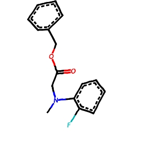 CN(CC(=O)OCc1ccccc1)c1ccccc1F